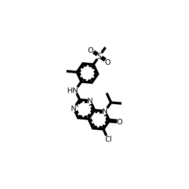 Cc1cc(S(C)(=O)=O)ccc1Nc1ncc2cc(Cl)c(=O)n(C(C)C)c2n1